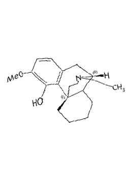 COc1ccc2c(c1O)[C@@]13CCCCC1[C@@H](C2)N(C)CC3